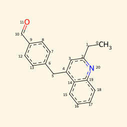 CCc1cc(Cc2ccc([C]=O)cc2)c2ccccc2n1